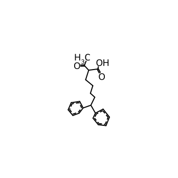 CC(=O)C(CCCCC(c1ccccc1)c1ccccc1)C(=O)O